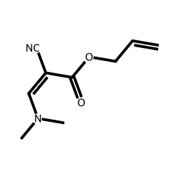 C=CCOC(=O)C(C#N)=CN(C)C